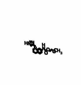 COCCOC(=O)Nc1ccc2c(c1)N(Cc1c[nH]cn1)CCC2